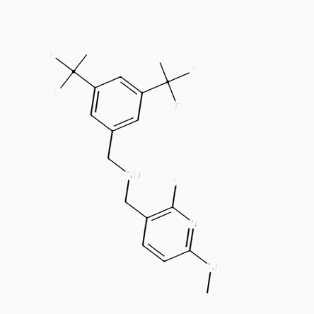 CNc1ccc(CNCc2cc(C(F)(F)F)cc(C(F)(F)F)c2)c(Cl)n1